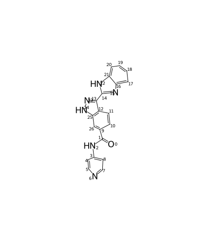 O=C(Nc1ccncc1)c1ccc2c(-c3nc4ccccc4[nH]3)n[nH]c2c1